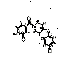 Cn1ccc(C(=O)N2CCC(Oc3ccc(Cl)cc3)CC2)cc1=O